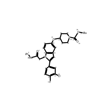 CC(C)NC(=O)Cn1c(-c2ccc(F)c(Cl)c2)cc2cc(OC3CCN(C(=O)OC(C)(C)C)CC3)ccc21